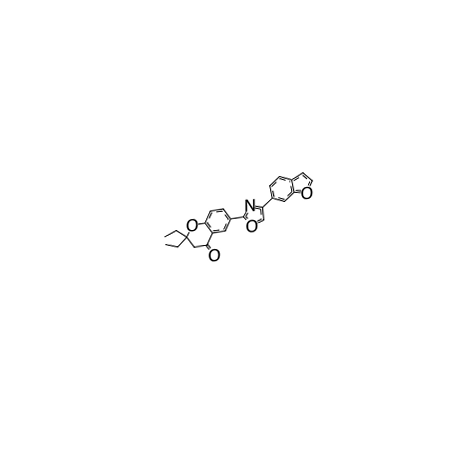 CCC1(CC)CC(=O)c2cc(-c3nc(-c4ccc5ccoc5c4)co3)ccc2O1